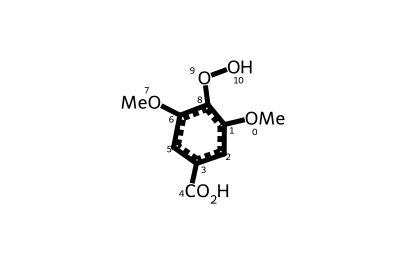 COc1cc(C(=O)O)cc(OC)c1OO